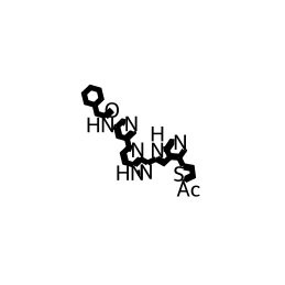 CC(=O)c1ccc(-c2cncc3[nH]c(-c4n[nH]c5ccc(-c6cncc(NC(=O)CC7CCCCC7)c6)nc45)cc23)s1